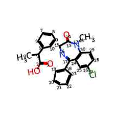 CC(C(=O)O)c1ccccc1.CN1C(=O)CN=C(c2ccccc2)c2cc(Cl)ccc21